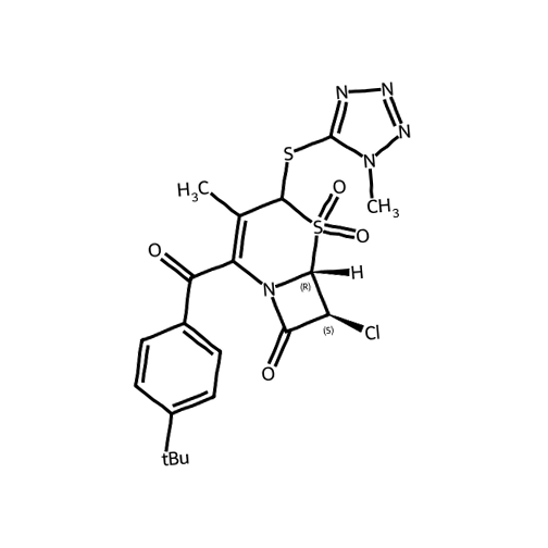 CC1=C(C(=O)c2ccc(C(C)(C)C)cc2)N2C(=O)[C@H](Cl)[C@H]2S(=O)(=O)C1Sc1nnnn1C